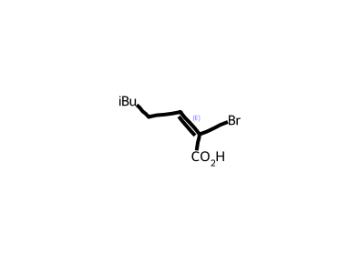 CCC(C)C/C=C(/Br)C(=O)O